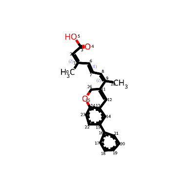 CC(=C/C(=O)O)/C=C/C=C(/C)C1=Cc2cc(-c3ccccc3)ccc2OC1